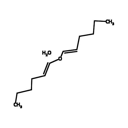 CCCCC=COC=CCCCC.O